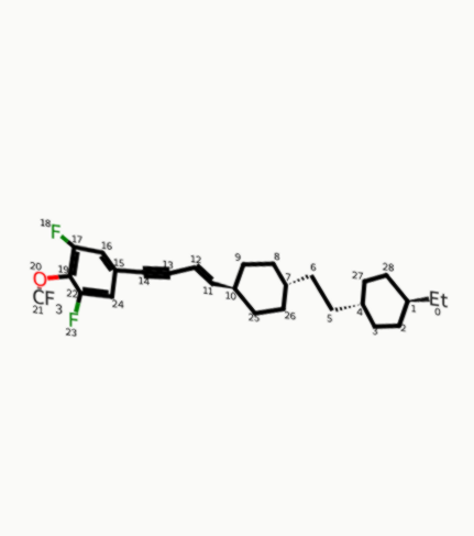 CC[C@H]1CC[C@H](CC[C@H]2CC[C@H](C=CC#Cc3cc(F)c(OC(F)(F)F)c(F)c3)CC2)CC1